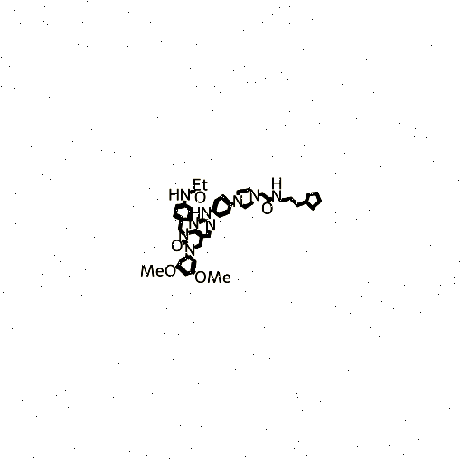 CCC(=O)Nc1ccc(CN2C(=O)N(c3cc(OC)cc(OC)c3)Cc3cnc(Nc4ccc(N5CCN(CC(=O)NCCCC6CCCC6)CC5)cc4)nc32)cc1